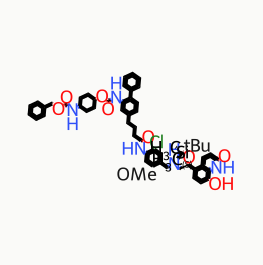 COc1cc(NC(=O)CCCc2ccc(-c3ccccc3)c(NC(=O)OC3CCC(NC(=O)OCc4ccccc4)CC3)c2)c(Cl)cc1CNC[C@@H](O[Si](C)(C)C(C)(C)C)c1ccc(O)c2[nH]c(=O)ccc12